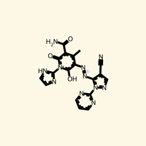 Cc1c(/N=N/c2c(C#N)cnn2-c2ncccn2)c(O)n(-c2ncc[nH]2)c(=O)c1C(N)=O